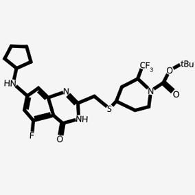 CC(C)(C)OC(=O)N1CCC(SCc2nc3cc(NC4CCCC4)cc(F)c3c(=O)[nH]2)CC1C(F)(F)F